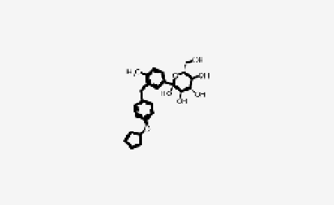 Cc1ccc([C@]2(O)O[C@H](CO)[C@@H](O)[C@H](O)[C@H]2O)cc1Cc1ccc(OC2CCCC2)cc1